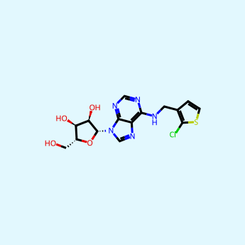 OC[C@H]1O[C@@H](n2cnc3c(NCc4ccsc4Cl)ncnc32)[C@H](O)[C@@H]1O